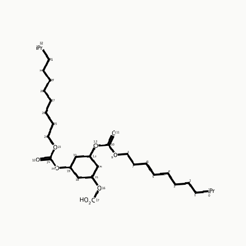 CC(C)CCCCCCCCOC(=O)OC1CC(OC(=O)O)CC(OC(=O)OCCCCCCCCC(C)C)C1